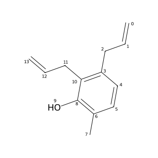 C=CCc1ccc(C)c(O)c1CC=C